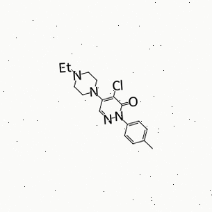 CCN1CCN(c2cnn(-c3ccc(C)cc3)c(=O)c2Cl)CC1